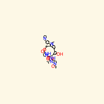 C=CC(=O)N1CC[C@@](C)(C(=O)N(C)[C@H](C(=O)N[C@H]2Cc3cc(O)cc(c3)-c3ccc4c(c3)c(c(-c3ccc(CN5CCCC5)cc3)n4CC)CC(C)(C)COC(=O)[C@@]3(C)CCCN(N3)C2=O)C(C)C)C1